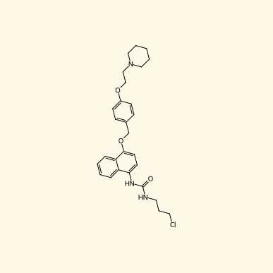 O=C(NCCCCl)Nc1ccc(OCc2ccc(OCCN3CCCCC3)cc2)c2ccccc12